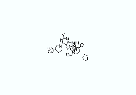 CSc1nc(NNC(=O)[C@H](CC2CCCC2)CN(O)C=O)c(F)c(N2CC[C@H](O)C2)n1